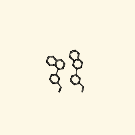 C=Cc1cccc(-c2ccc3ccccc3c2)c1.C=Cc1cccc(-c2cccc3ccccc23)c1